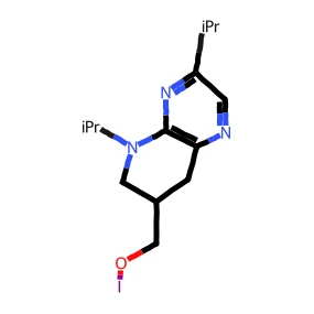 CC(C)c1cnc2c(n1)N(C(C)C)CC(COI)C2